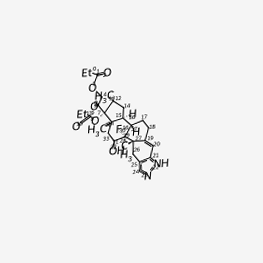 CCC(=O)OCC(=O)[C@@]1(OC(=O)CC)[C@@H](C)C[C@H]2[C@@H]3CCC4=Cc5[nH]ncc5C[C@]4(C)[C@@]3(F)[C@@H](O)C[C@@]21C